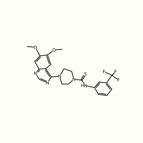 COc1cc2ncnc(N3CCN(C(=S)Nc4cccc(C(F)(F)F)c4)CC3)c2cc1OC